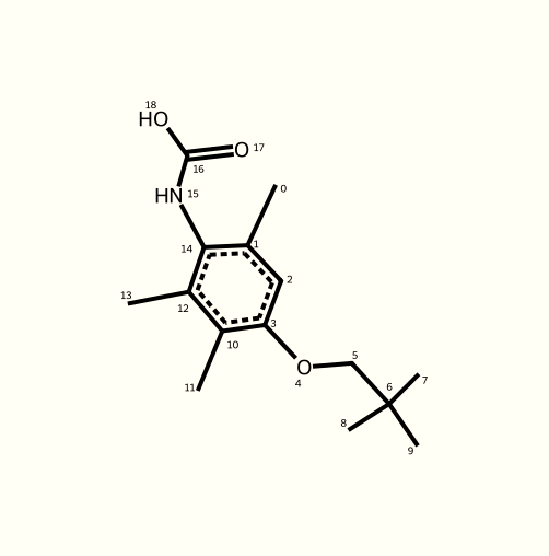 Cc1cc(OCC(C)(C)C)c(C)c(C)c1NC(=O)O